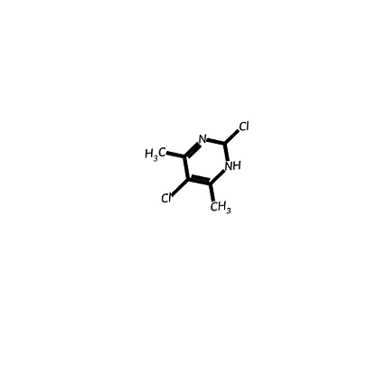 CC1=NC(Cl)NC(C)=C1Cl